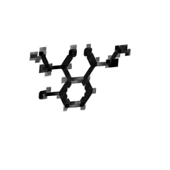 NNC(=O)c1cccc(Cl)c1C(=O)NN